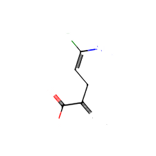 C=C(C/C=C(\N)F)C(=O)O